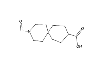 O=CN1CCC2(CCC(C(=O)O)CC2)CC1